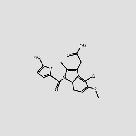 COC1=CCC2C(=C1Cl)C(CC(=O)O)=C(C)N2C(=O)c1ccc(O)s1